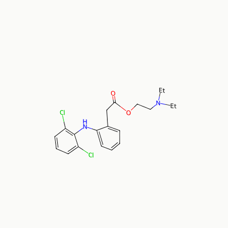 CCN(CC)CCOC(=O)Cc1ccccc1Nc1c(Cl)cccc1Cl